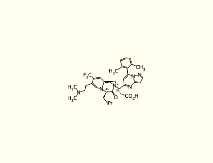 Cc1cccc(C)c1-c1cc([C@H](CC(=O)O)[N+]23CC2=C2C=C(C(F)(F)F)C(CCN(C)C)=CN2[C@H](CC(C)C)C3=O)nc2ccnn12